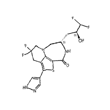 O=C1N[C@@H](C[C@H](O)C(F)F)CN2CC(F)(F)Cc3c(-c4cn[nH]c4)sc1c32